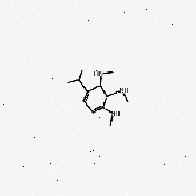 CNC1=CC=C(C(C)C)C(NC)C1NC